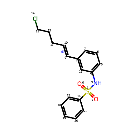 O=S(=O)(Nc1cccc(/C=C/CCCCl)c1)c1ccccc1